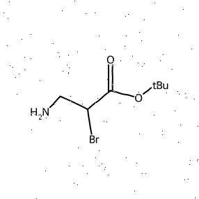 CC(C)(C)OC(=O)C(Br)CN